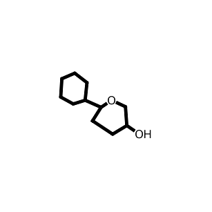 OC1CCC(C2CCCCC2)OC1